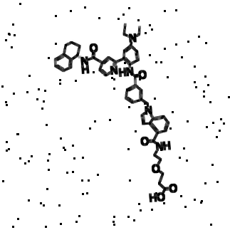 CCN(CC)c1ccc(NC(=O)c2cccc(Cn3ccc4c(C(=O)NCCOCCC(=O)O)cccc43)c2)c(-c2cc(C(=O)N[C@H]3CCCc4ccccc43)ccn2)c1